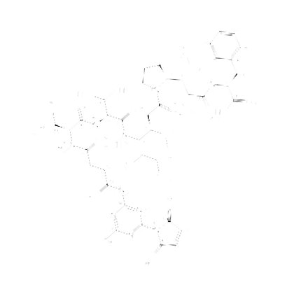 CCC(C)[C@@H]([C@@H](CC(=O)N1CCC[C@H]1[C@H](OC)[C@@H](C)C(=O)N[C@@H](Cc1ccccc1)C(=O)O)OC)N(C)C(=O)[C@@H](NC(=O)[C@H](C(C)C)N(C)C(=O)CCC(=O)Nc1nc(Cl)nc(N2C(=O)C=CC2=O)n1)C(C)C